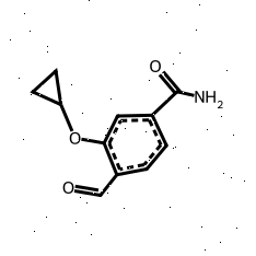 NC(=O)c1ccc(C=O)c(OC2CC2)c1